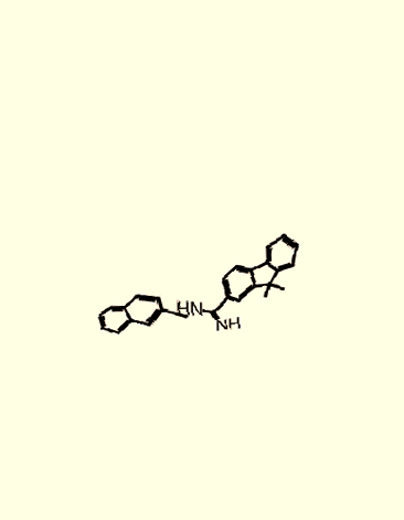 CC1(C)c2ccccc2-c2ccc(C(=N)NCc3ccc4ccccc4c3)cc21